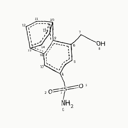 NS(=O)(=O)c1cc(CO)c2c3ccc(cc3)c2c1